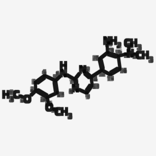 COc1ccc(Nc2nccc(-c3ccc(N(C)C)c(N)c3)n2)cc1OC